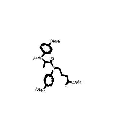 COC(=O)CCCN(C(=O)C(C)N(C(C)=O)c1ccc(OC)cc1)c1ccc(OC)cc1